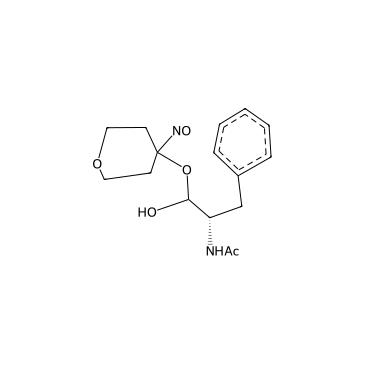 CC(=O)N[C@@H](Cc1ccccc1)C(O)OC1(N=O)CCOCC1